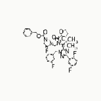 CC(C)(C)[C@H](c1nc(-c2cc(F)ccc2F)nn1Cc1cccc(F)c1)N(C[C@@H]1CN(C(=O)OCc2ccccc2)C[C@@H]1F)C(=O)C1CCCO1